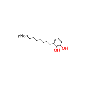 CCCCCCCCCCCCCCCCc1cccc(O)c1O